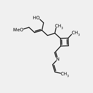 C/C=C\N=C\C1=C(C(C)C/C(=C/COC)CO)C(C)=C1